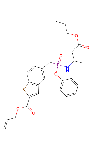 C=CCOC(=O)c1cc2cc(CP(=O)(NC(C)CC(=O)OCCC)Oc3ccccc3)ccc2s1